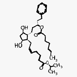 CCCCCCC(=O)O[C@@H](CCc1ccccc1)CC[C@@H]1[C@@H](C/C=C\CCCC(=O)OC(C)C)[C@@H](O)C[C@H]1O